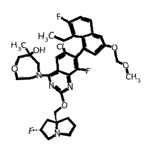 CCc1c(F)ccc2cc(OCOC)cc(-c3c(Cl)cc4c(N5CCOCC(C)(O)C5)nc(OC[C@@]56CCCN5C[C@H](F)C6)nc4c3F)c12